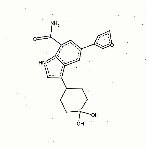 NC(=O)c1cc(-c2ccoc2)cc2c(C3CCS(O)(O)CC3)c[nH]c12